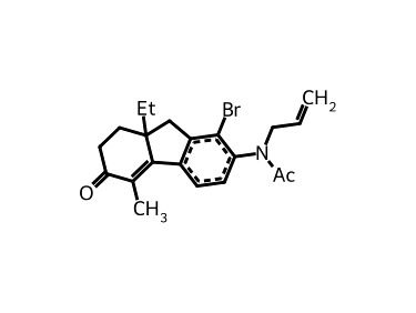 C=CCN(C(C)=O)c1ccc2c(c1Br)CC1(CC)CCC(=O)C(C)=C21